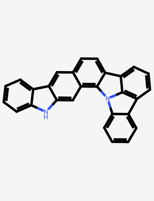 c1ccc2c(c1)[nH]c1cc3c(ccc4c5cccc6c7ccccc7n(c34)c65)cc12